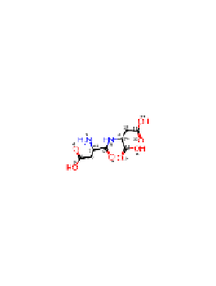 N[C@H](CC(=O)O)C(=O)N[C@@H](CC(=O)O)C(=O)O